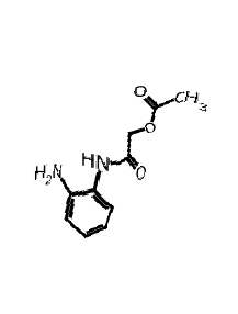 CC(=O)OCC(=O)Nc1ccccc1N